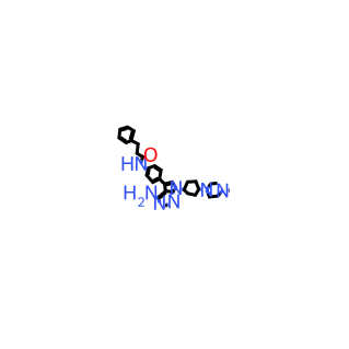 CN1CCN(C2CCC(n3cc(-c4ccc(NC(=O)CCc5ccccc5)cc4)c4c(N)ncnc43)CC2)CC1